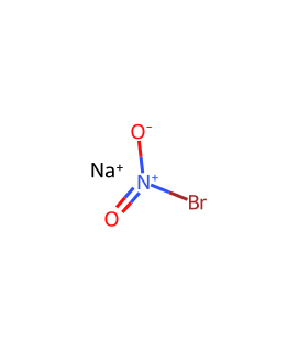 O=[N+]([O-])Br.[Na+]